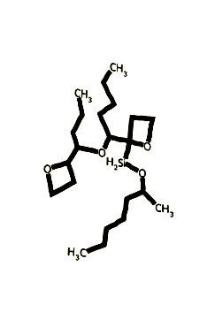 CCCCCC(C)O[SiH2]C1(C(CCCC)OC(CCC)C2CCO2)CCO1